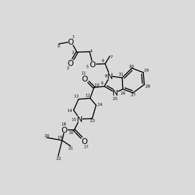 COC(=O)COC(C)n1c(C(=O)C2CCN(C(=O)OC(C)(C)C)CC2)nc2ccccc21